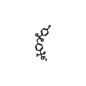 O=S(=O)(Cc1ccc(C(F)(F)C(F)(F)F)cc1)c1ccc(F)cc1